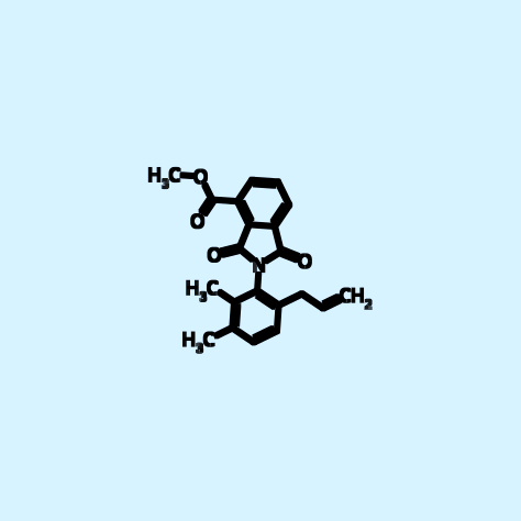 C=CCc1ccc(C)c(C)c1N1C(=O)c2cccc(C(=O)OC)c2C1=O